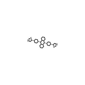 c1ccc2c(-c3ccc(-c4cncs4)cc3)c3ccccc3c(-c3ccc(-c4cncs4)cc3)c2c1